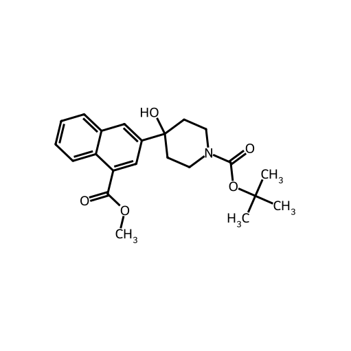 COC(=O)c1cc(C2(O)CCN(C(=O)OC(C)(C)C)CC2)cc2ccccc12